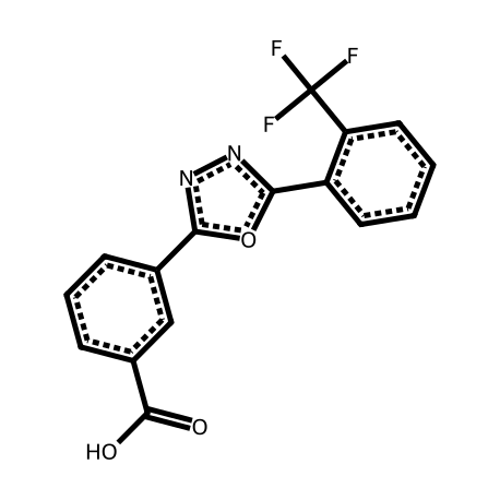 O=C(O)c1cccc(-c2nnc(-c3ccccc3C(F)(F)F)o2)c1